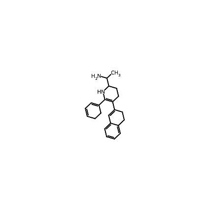 CC(N)C1CCC(C2=Cc3ccccc3CC2)=C(C2=CC=CCC2)N1